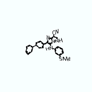 CSc1cccc(Nc2c(-c3ccc(-c4ccccc4)cc3)nc3c(C#N)c[nH]n23)c1